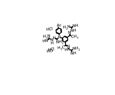 CC(=O)c1ccc(N(C(N)=NNC(=N)N)c2cc(C(C)=NNC(=N)N)cc(C(C)=NNC(=N)N)c2)cc1.Cl.Cl.Cl